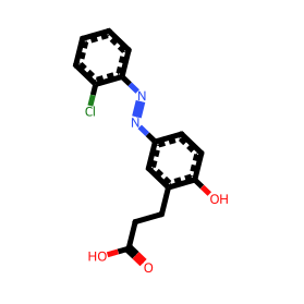 O=C(O)CCc1cc(N=Nc2ccccc2Cl)ccc1O